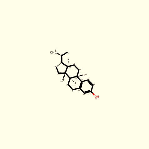 C[C@H](C=O)[C@H]1CC[C@H]2[C@@H]3CCc4cc(O)ccc4[C@H]3CC[C@]12C